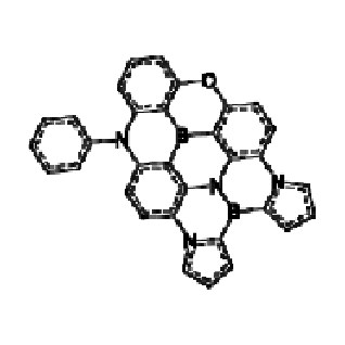 c1ccc(N2c3cccc4c3B3c5c(ccc6c5N5B(c7cccn7-6)c6cccn6-c6ccc2c3c65)O4)cc1